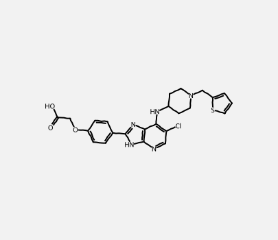 O=C(O)COc1ccc(-c2nc3c(NC4CCN(Cc5cccs5)CC4)c(Cl)cnc3[nH]2)cc1